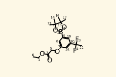 CCOC(=O)COc1cc(B2OC(C)(C)C(C)(C)O2)cc(C(C)(F)F)c1